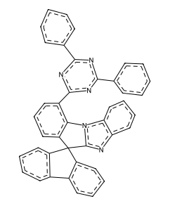 c1ccc(-c2nc(-c3ccccc3)nc(-c3cccc4c3-n3c(nc5ccccc53)C43c4ccccc4-c4ccccc43)n2)cc1